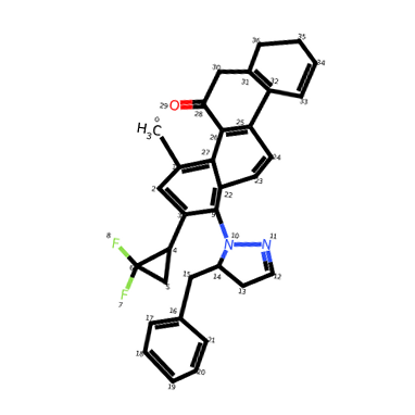 Cc1cc(C2CC2(F)F)c(N2N=CCC2Cc2ccccc2)c2ccc3c(c12)C(=O)CC1=C3C=CCC1